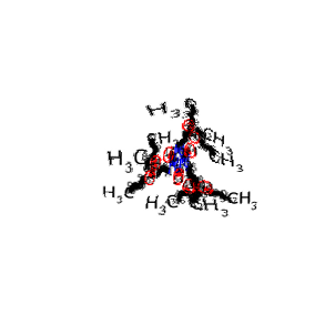 CCCCO[Si](CCC)(CCCn1c(=O)n(CCC[Si](CCC)(OCCCC)OCCCC)c(=O)n(CCC[Si](CCC)(OCCCC)OCCCC)c1=O)OCCCC